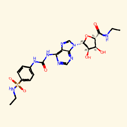 CCNC(=O)[C@H]1O[C@@H](n2cnc3c(NC(=O)Nc4ccc(S(=O)(=O)NCC)cc4)ncnc32)[C@H](O)[C@@H]1O